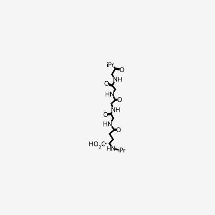 CC(C)N[C@@H](CCC(=O)NCC(=O)NCC(=O)NCC(=O)NCC(=O)C(C)C)C(=O)O